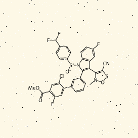 COC(=O)c1cc(Cl)c(-c2cccc(-c3c(C4=C(C#N)SON4C)c4cc(F)ccc4n3[S+]([O-])c3ccc(C(F)F)cc3)c2)cc1F